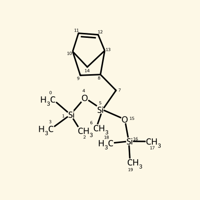 C[Si](C)(C)O[Si](C)(CC1CC2C=CC1C2)O[Si](C)(C)C